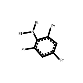 CCN(CC)c1c(C(C)C)cc(C(C)C)cc1C(C)C